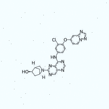 O[C@@H]1C[C@H]2C[C@@H]1CN2c1ncc2ncnc(Nc3ccc(Oc4ccn5ncnc5c4)c(Cl)c3)c2n1